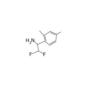 Cc1ccc(C(N)C(F)F)c(C)c1